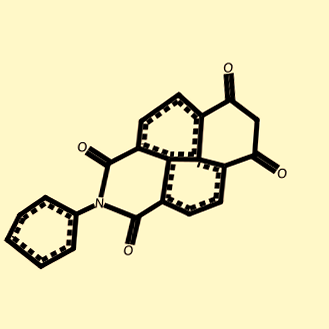 O=C1CC(=O)c2ccc3c4c(ccc1c24)C(=O)N(c1ccccc1)C3=O